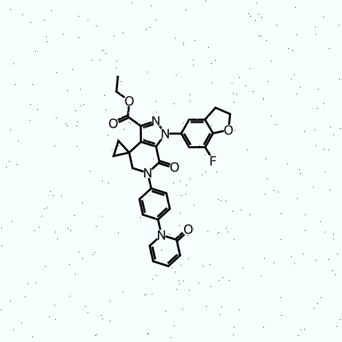 CCOC(=O)c1nn(-c2cc(F)c3c(c2)CCO3)c2c1C1(CC1)CN(c1ccc(-n3ccccc3=O)cc1)C2=O